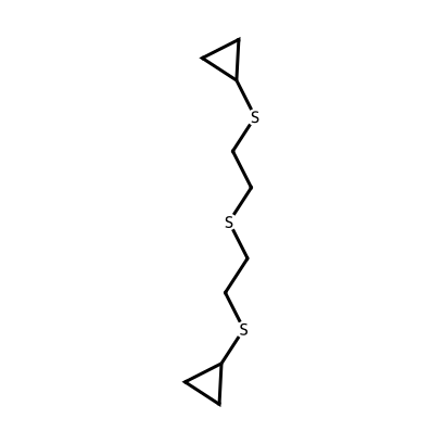 C(CSC1CC1)SCCSC1CC1